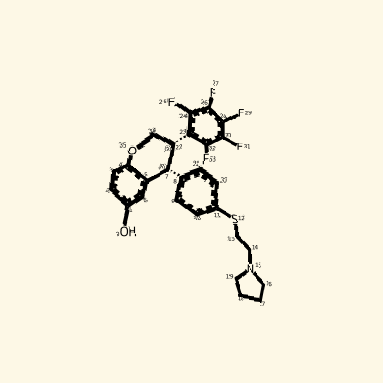 Oc1ccc2c(c1)[C@@H](c1ccc(SCCN3CCCC3)cc1)[C@@H](c1c(F)c(F)c(F)c(F)c1F)CO2